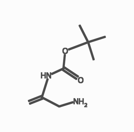 C=C(CN)NC(=O)OC(C)(C)C